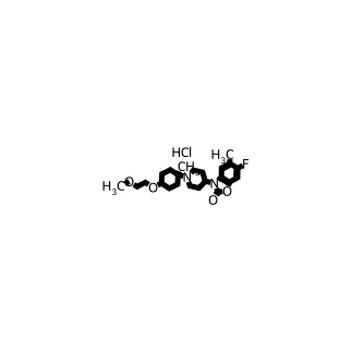 COCCOC1CCC(C)(N2CCC(n3c(=O)oc4cc(F)c(C)cc43)CC2)CC1.Cl